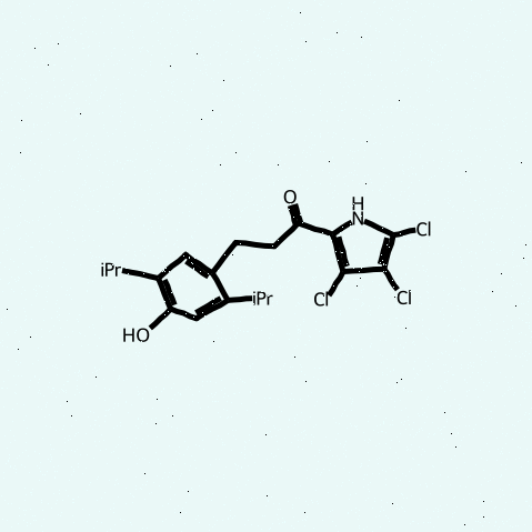 CC(C)c1cc(CCC(=O)c2[nH]c(Cl)c(Cl)c2Cl)c(C(C)C)cc1O